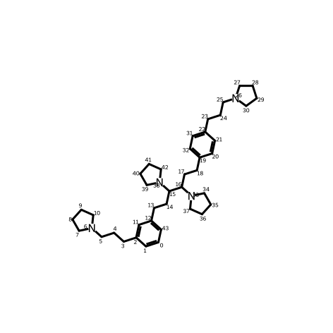 c1cc(CCCN2CCCC2)cc(CCC(C(CCc2ccc(CCCN3CCCC3)cc2)N2CCCC2)N2CCCC2)c1